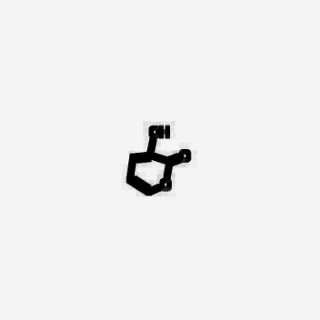 O=c1occcc1O